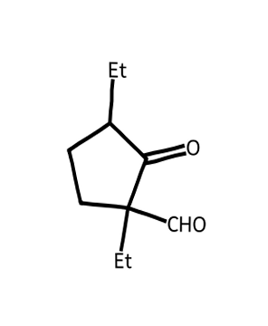 CCC1CCC(C=O)(CC)C1=O